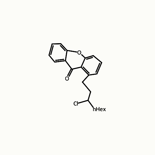 CCCCCCC(Cl)CCc1cccc2oc3ccccc3c(=O)c12